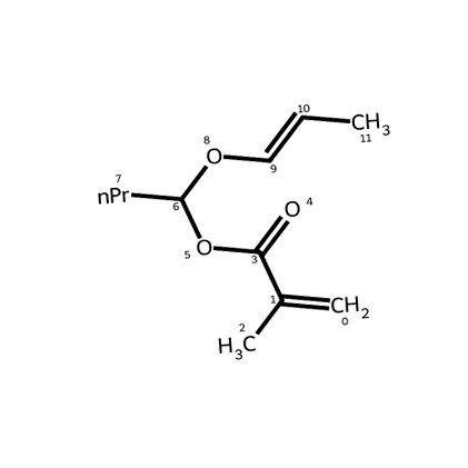 C=C(C)C(=O)OC(CCC)OC=CC